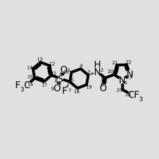 O=C(N[C@H]1CC[C@](F)(S(=O)(=O)c2cccc(C(F)(F)F)c2)CC1)c1ccnn1CC(F)(F)F